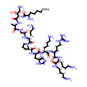 CNCCCCC(N)C(=O)N[C@H](C(=O)NC(C)C(=O)NCC(=O)N[C@H](CCCN)C(=O)N1CCC[C@H]1C(=O)NC(Cc1cnc[nH]1)C(=O)N[C@@H](CCCCN)C(=O)N/C(=C\CCNC(=N)N)C(=O)N[C@@H](CCCCN)C(=O)NCCCCN)[C@@H](O)CN